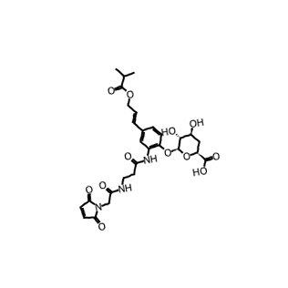 CC(C)C(=O)OC/C=C/c1ccc(O[C@@H]2O[C@H](C(=O)O)C[C@H](O)[C@H]2O)c(NC(=O)CCNC(=O)CN2C(=O)C=CC2=O)c1